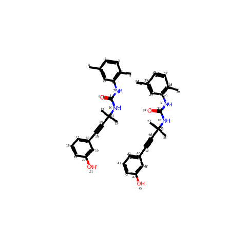 Cc1ccc(C)c(NC(=O)NC(C)(C)C#Cc2cccc(O)c2)c1.Cc1ccc(C)c(NC(=O)NC(C)(C)C#Cc2cccc(O)c2)c1